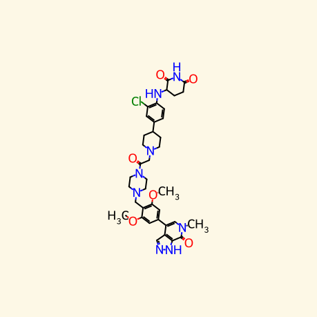 COc1cc(-c2cn(C)c(=O)c3[nH]ncc23)cc(OC)c1CN1CCN(C(=O)CN2CCC(c3ccc(NC4CCC(=O)NC4=O)c(Cl)c3)CC2)CC1